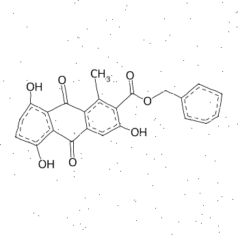 Cc1c(C(=O)OCc2ccccc2)c(O)cc2c1C(=O)c1c(O)ccc(O)c1C2=O